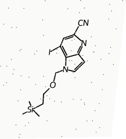 C[Si](C)(C)CCOCn1ccc2nc(C#N)cc(I)c21